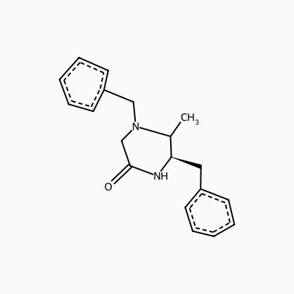 CC1[C@@H](Cc2ccccc2)NC(=O)CN1Cc1ccccc1